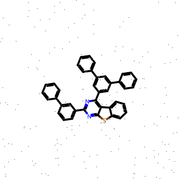 c1ccc(-c2cccc(-c3nc(-c4cc(-c5ccccc5)cc(-c5ccccc5)c4)c4c(n3)sc3ccccc34)c2)cc1